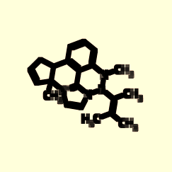 CC(C)=C(C)B1N(C)c2cccc3c2-c2n1cc[n+]2C1(C)C=CCC31